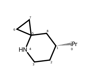 CC(C)[C@@H]1CCNC2(CC2)C1